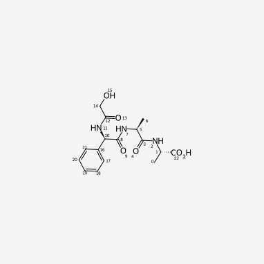 C[C@H](NC(=O)[C@H](C)NC(=O)[C@H](NC(=O)CO)c1ccccc1)C(=O)O